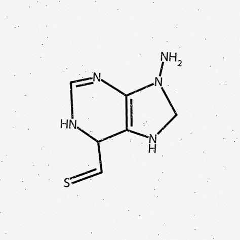 NN1CNC2=C1N=CNC2C=S